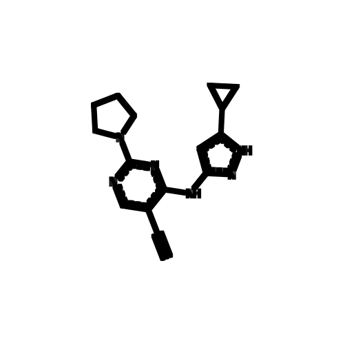 C#Cc1cnc(N2CCCC2)nc1Nc1cc(C2CC2)[nH]n1